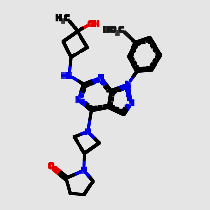 CCOC(=O)c1cccc(-n2ncc3c(N4CC(N5CCCC5=O)C4)nc(NC4CC(C)(O)C4)nc32)c1